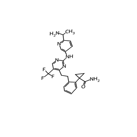 CC(N)c1ccc(Nc2ncc(C(F)(F)F)c(CCc3ccccc3C3(C(N)=O)CC3)n2)cn1